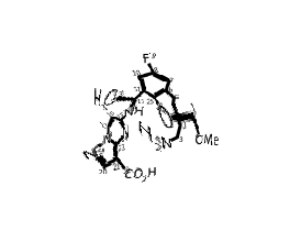 COCC1(CN)Cc2cc(F)cc(C(C)Nc3ccn4ncc(C(=O)O)c4n3)c2O1